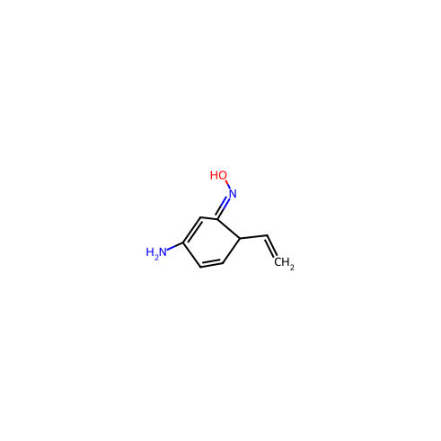 C=CC1C=CC(N)=CC1=NO